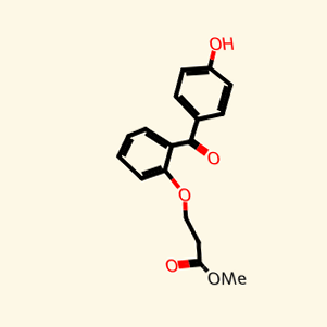 COC(=O)CCOc1ccccc1C(=O)c1ccc(O)cc1